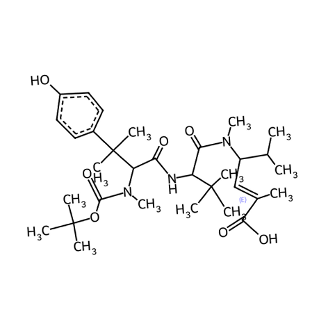 C/C(=C\C(C(C)C)N(C)C(=O)C(NC(=O)C(N(C)C(=O)OC(C)(C)C)C(C)(C)c1ccc(O)cc1)C(C)(C)C)C(=O)O